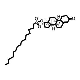 CCCCCCCCCCCCCCCS(=O)(=O)O[C@H]1CC[C@H]2[C@@H]3CCC4=CC(=O)CC[C@]4(C)[C@H]3CC[C@]12C